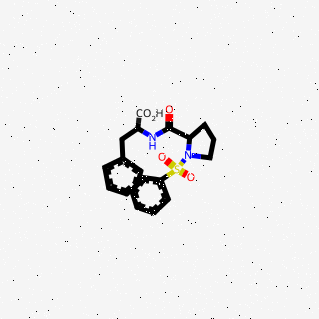 O=C(O)C(Cc1ccccc1)NC(=O)C1CCCN1S(=O)(=O)c1ccccc1